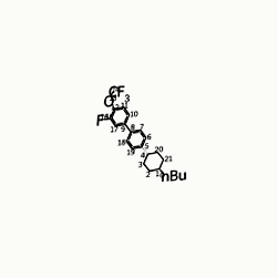 CCCC[C@H]1CC[C@H](c2ccc(-c3ccc(OC(F)(F)F)c(F)c3)cc2)CC1